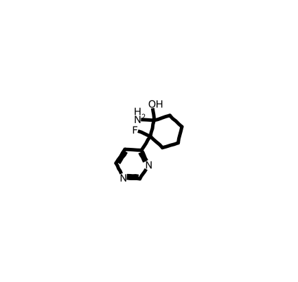 NC1(O)CCCCC1(F)c1ccncn1